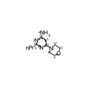 CCCc1nc(N)cc(N2CCOCC2)n1